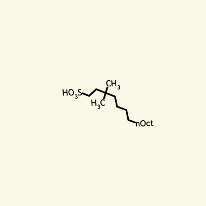 CCCCCCCCCCCCC(C)(C)CCS(=O)(=O)O